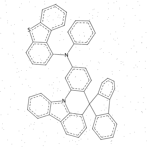 c1ccc(N(c2ccc3c(c2)-n2c4ccccc4c4cccc(c42)C32c3ccccc3-c3ccccc32)c2cccc3sc4ccccc4c23)cc1